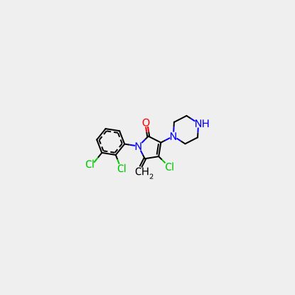 C=C1C(Cl)=C(N2CCNCC2)C(=O)N1c1cccc(Cl)c1Cl